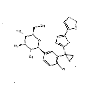 OC[C@H]1O[C@@H](c2ccc(Cl)c(C3(c4ncc(C5=CCCO5)s4)CC3)c2)[C@H](O)[C@@H](O)[C@@H]1O